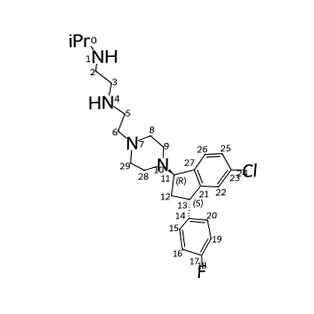 CC(C)NCCNCCN1CCN([C@@H]2C[C@@H](c3ccc(F)cc3)c3cc(Cl)ccc32)CC1